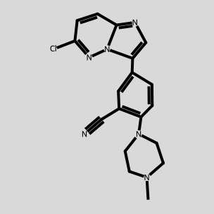 CN1CCN(c2ccc(-c3cnc4ccc(Cl)nn34)cc2C#N)CC1